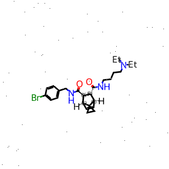 CCN(CC)CCCCNC(=O)[C@H]1[C@H](C(=O)NCc2ccc(Br)cc2)[C@@H]2C=C[C@H]1C21CC1